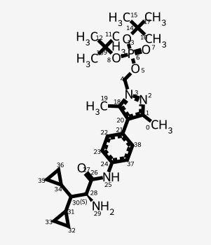 Cc1nn(COP(=O)(OC(C)(C)C)OC(C)(C)C)c(C)c1-c1ccc(NC(=O)[C@@H](N)C(C2CC2)C2CC2)cc1